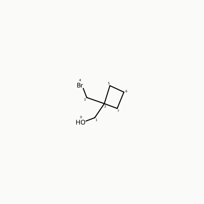 OCC1(CBr)CCC1